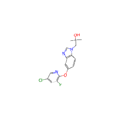 CC(C)(O)Cn1cnc2cc(Oc3ncc(Cl)cc3F)ccc21